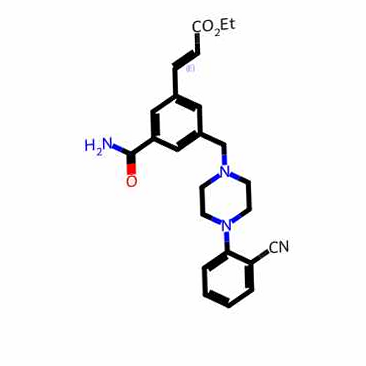 CCOC(=O)/C=C/c1cc(CN2CCN(c3ccccc3C#N)CC2)cc(C(N)=O)c1